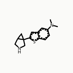 CN(C)c1ccc2sc(C34CNCC3C4)cc2c1